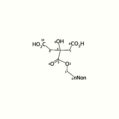 CCCCCCCCCCOC(=O)C(O)(CC(=O)O)CC(=O)O